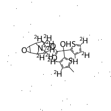 [2H]c1sc(C(O)(C(=O)OC2CC3C4OC4C(C2)[N+]3(C([2H])([2H])[2H])C([2H])([2H])[2H])c2sc(C)c([2H])c2[2H])c([2H])c1[2H]